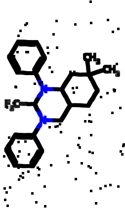 CC1(C)CCC2CN(c3ccccc3)C(C(F)(F)F)N(c3ccccc3)C2C1